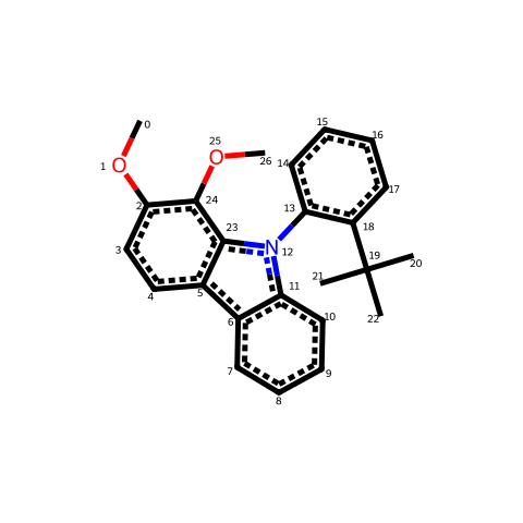 COc1ccc2c3ccccc3n(-c3ccccc3C(C)(C)C)c2c1OC